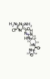 Nc1nc(N)c(C(=O)/N=C2\NCC3(CCN(C(=O)c4cocn4)CC3)N2)nc1Cl